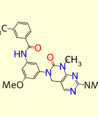 CNc1ncc2c(n1)N(C)C(=O)N(c1cc(NC(=O)c3cccc(C(F)(F)F)c3)cc(OC)c1)C2